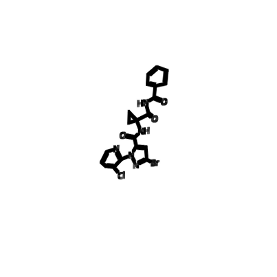 O=C(NC(=O)C1(NC(=O)c2cc(Br)nn2-c2ncccc2Cl)CC1)c1ccccc1